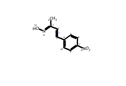 CC(/C=C/c1ccc([N+](=O)[O-])cc1)=NO